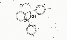 Cc1ccc([C@@]2(NC(=O)c3ccncn3)CCOc3cccnc32)cc1